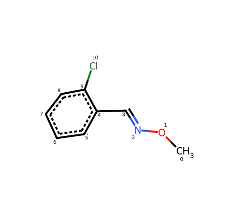 CON=Cc1[c]cccc1Cl